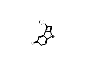 O=C1C=c2c([nH]c3c2=C(C(F)(F)F)C=3)=CC1